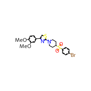 COc1ccc(-c2csc(N3CCC(S(=O)(=O)c4ccc(Br)cc4)CC3)n2)cc1OC